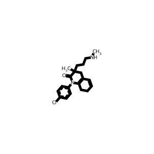 CNCCCC1(C)CC2=C(CCC=C2)N(c2ccc(Cl)cc2)C1=O